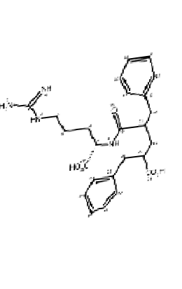 N=C(N)NCCC[C@H](NC(=O)C(Cc1ccccc1)CC(Cc1ccccc1)C(=O)O)C(=O)O